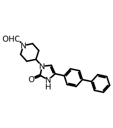 O=CN1CCC(n2cc(-c3ccc(-c4ccccc4)cc3)[nH]c2=O)CC1